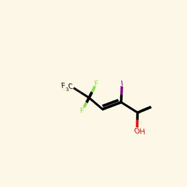 CC(O)C(I)=CC(F)(F)C(F)(F)F